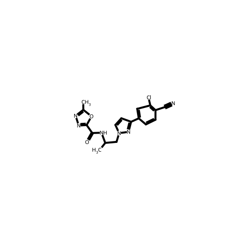 Cc1nnc(C(=O)NC(C)Cn2ccc(-c3ccc(C#N)c(Cl)c3)n2)o1